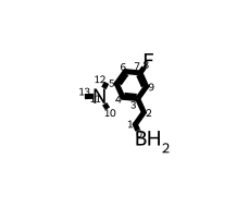 BCCc1cccc(F)c1.CN(C)C